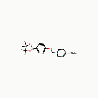 COC1=CC[C@@H](COc2c#cc(B3OC(C)(C)C(C)(C)O3)cc2)C=C1